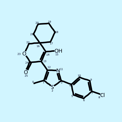 Cc1sc(-c2ccc(Cl)cc2)nc1C1=C(O)C2(CCCCC2)COC1=O